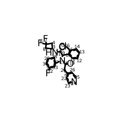 O=C(NC1CC(F)(F)C1)C(c1ccccc1Cl)N(C(=O)Cc1ccncc1)c1cccc(F)c1